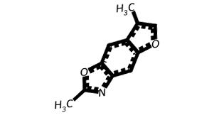 Cc1nc2cc3occ(C)c3cc2o1